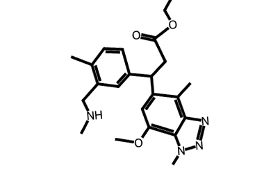 CCOC(=O)CC(c1ccc(C)c(CNC)c1)c1cc(OC)c2c(nnn2C)c1C